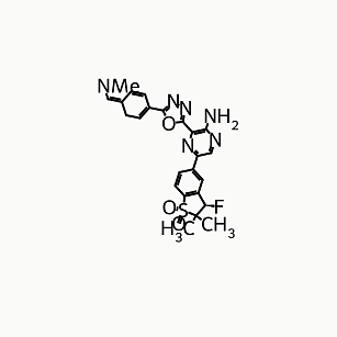 CNC=C1C=CC(c2nnc(-c3nc(-c4ccc5c(c4)[C@@H](F)C(C)(C)S5(=O)=O)cnc3N)o2)=CC1